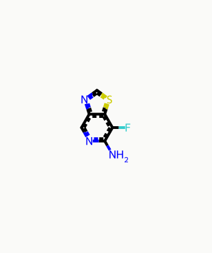 Nc1ncc2ncsc2c1F